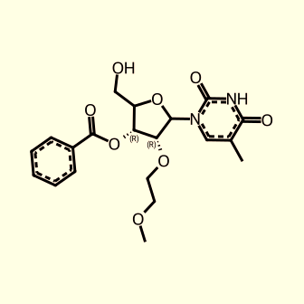 COCCO[C@H]1C(n2cc(C)c(=O)[nH]c2=O)OC(CO)[C@H]1OC(=O)c1ccccc1